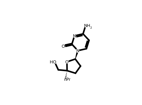 CCC[C@@]1(CO)CC[C@H](n2ccc(N)nc2=O)O1